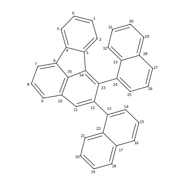 c1ccc2c(c1)-c1cccc3cc(-c4cccc5ccccc45)c(-c4cccc5ccccc45)c-2c13